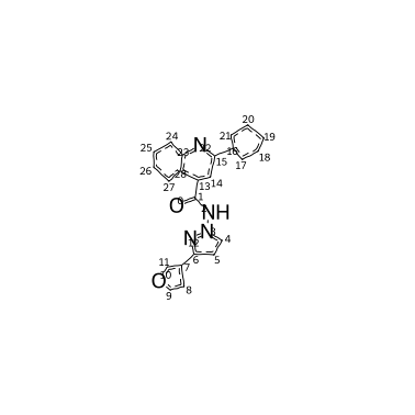 O=C(Nn1ccc(-c2ccoc2)n1)c1cc(-c2ccccc2)nc2ccccc12